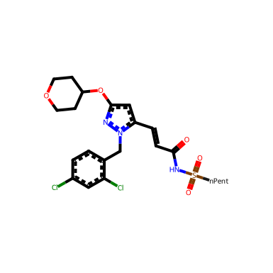 CCCCCS(=O)(=O)NC(=O)/C=C/c1cc(OC2CCOCC2)nn1Cc1ccc(Cl)cc1Cl